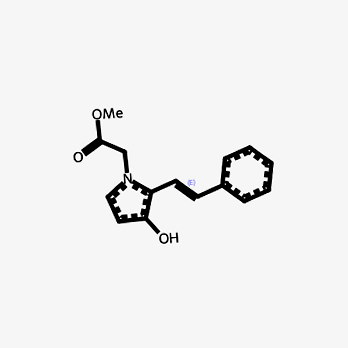 COC(=O)Cn1ccc(O)c1/C=C/c1ccccc1